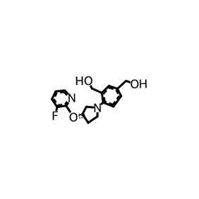 OCc1ccc(N2CC[C@H](Oc3ncccc3F)C2)c(CO)c1